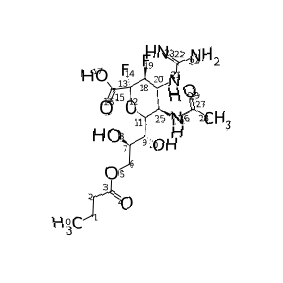 CCCC(=O)OC[C@@H](O)[C@@H](O)C1O[C@@](F)(C(=O)O)[C@@H](F)C(NC(=N)N)[C@H]1NC(C)=O